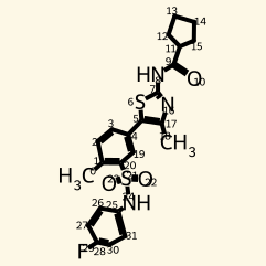 Cc1ccc(-c2sc(NC(=O)C3CCCC3)nc2C)cc1S(=O)(=O)Nc1ccc(F)cc1